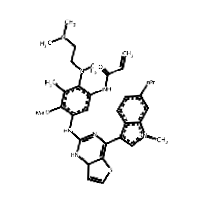 C=CC(=O)Nc1cc(NC2=NC(c3cn(C)c4cc(CCC)ccc34)=C3SC=CC3N2)c(OC)c(C)c1N(C)CCN(C)C